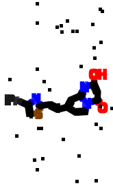 CC(C)c1csc(C=Cc2ccn3c(=O)cc(O)nc3c2)n1